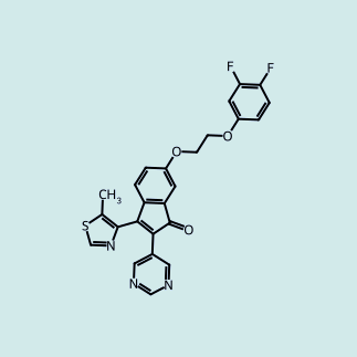 Cc1scnc1C1=C(c2cncnc2)C(=O)c2cc(OCCOc3ccc(F)c(F)c3)ccc21